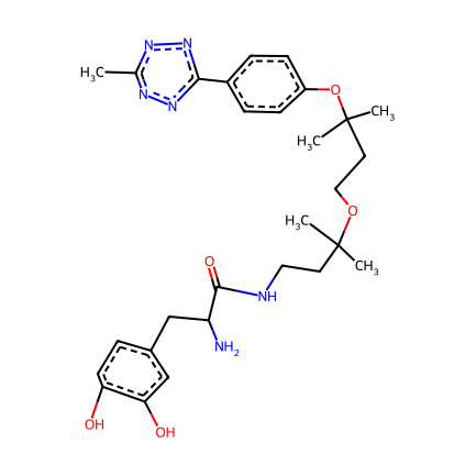 Cc1nnc(-c2ccc(OC(C)(C)CCOC(C)(C)CCNC(=O)C(N)Cc3ccc(O)c(O)c3)cc2)nn1